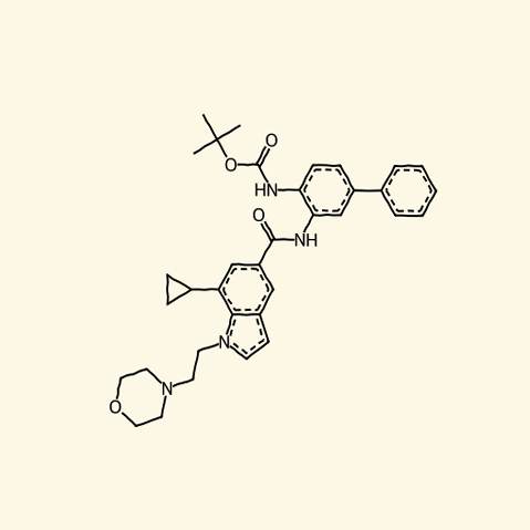 CC(C)(C)OC(=O)Nc1ccc(-c2ccccc2)cc1NC(=O)c1cc(C2CC2)c2c(ccn2CCN2CCOCC2)c1